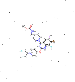 CC(C)(C)OC(=O)N1CC2(CCN(c3nc(OC4CCN(C(CF)CF)CC4)nc4c(F)c(Br)c(I)cc34)CC2)C1